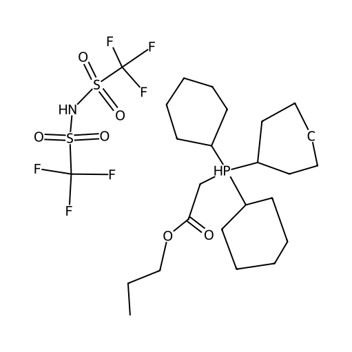 CCCOC(=O)C[PH](C1CCCCC1)(C1CCCCC1)C1CCCCC1.O=S(=O)(NS(=O)(=O)C(F)(F)F)C(F)(F)F